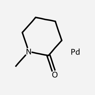 CN1CCCCC1=O.[Pd]